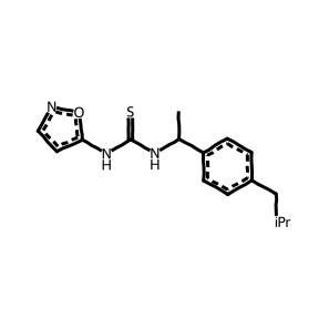 CC(C)Cc1ccc(C(C)NC(=S)Nc2ccno2)cc1